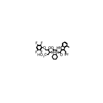 Cc1cccc2[nH]c(C(=O)N(C3CCCCC3)[C@@H](C)C(=O)NC(CC(=O)O)C(=O)COc3c(F)c(F)cc(F)c3F)c(CC(C)C)c12